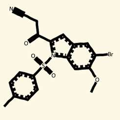 COc1cc2c(cc1Br)cc(C(=O)CC#N)n2S(=O)(=O)c1ccc(C)cc1